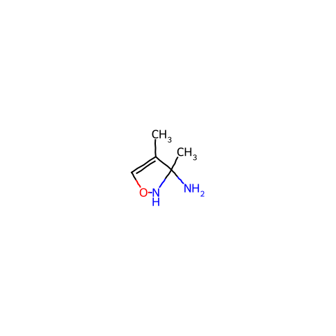 CC1=CONC1(C)N